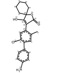 Cc1cc(-c2ccc(N)cc2)c(Cl)cc1C1=C(O)C2(CCCCC2)OC1=O